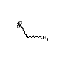 CCCCCCCC/C=C\CCCCCCCC1(O)CCO1